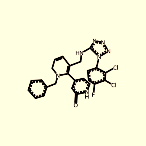 O=c1cc(C2=C(CNc3nnnn3-c3ccc(F)c(Cl)c3Cl)C=CCN2Cc2ccccc2)cc[nH]1